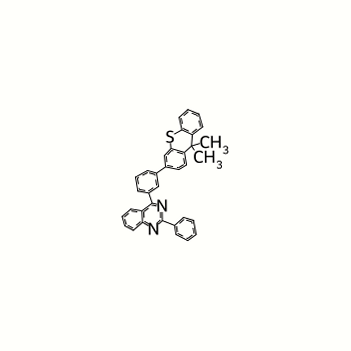 CC1(C)c2ccccc2Sc2cc(-c3cccc(-c4nc(-c5ccccc5)nc5ccccc45)c3)ccc21